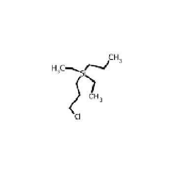 CCC[Si](CC)(CC)CCCCl